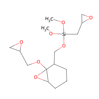 CO[Si](CC1CO1)(OC)OCC1CCCC2OC12OCC1CO1